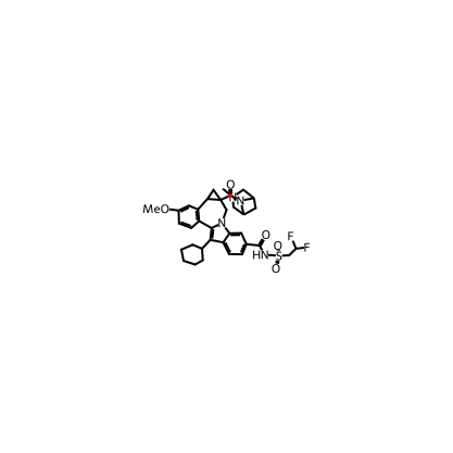 COc1ccc2c(c1)C1CC1(C(=O)N1C3CC1CN(C)C3)Cn1c-2c(C2CCCCC2)c2ccc(C(=O)NS(=O)(=O)CC(F)F)cc21